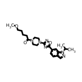 COCCCCC(=O)N1CCN(c2noc(-c3ccc4cnn(C(C)C)c4c3)n2)CC1